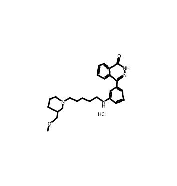 COCC1CCCN(CCCCCNc2cccc(-c3n[nH]c(=O)c4ccccc34)c2)C1.Cl